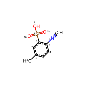 C#[N+]c1ccc(C)cc1S(=O)(=O)O